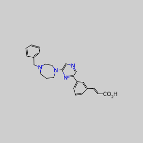 O=C(O)/C=C/c1cccc(-c2cncc(N3CCCN(Cc4ccccc4)CC3)n2)c1